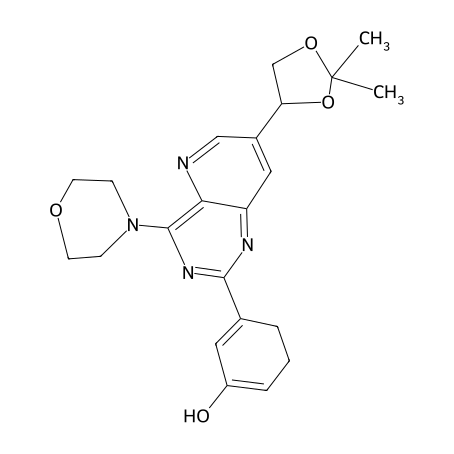 CC1(C)OCC(c2cnc3c(N4CCOCC4)nc(C4=CC(O)=CCC4)nc3c2)O1